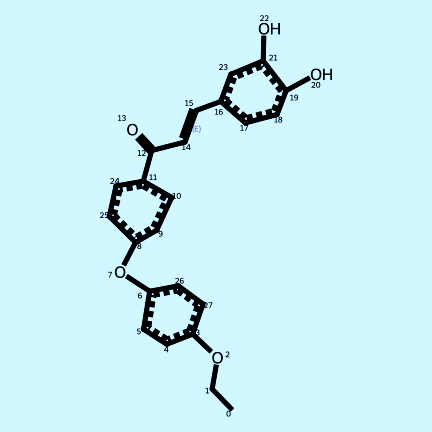 CCOc1ccc(Oc2ccc(C(=O)/C=C/c3ccc(O)c(O)c3)cc2)cc1